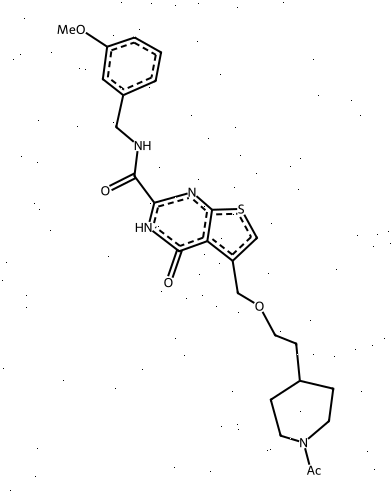 COc1cccc(CNC(=O)c2nc3scc(COCCC4CCN(C(C)=O)CC4)c3c(=O)[nH]2)c1